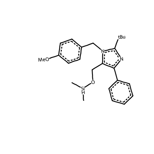 COc1ccc(Cn2c(C(C)(C)C)nc(-c3ccccc3)c2CO[SiH](C)C)cc1